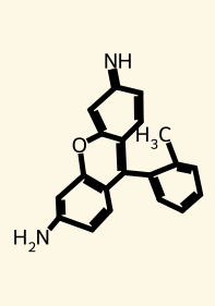 Cc1ccccc1-c1c2ccc(=N)cc-2oc2cc(N)ccc12